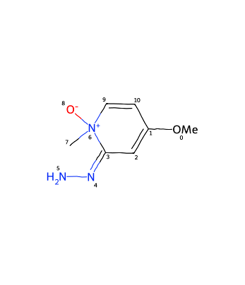 COC1=CC(=NN)[N+](C)([O-])C=C1